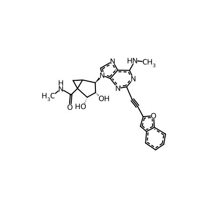 CNC(=O)C12CC1[C@@H](n1cnc3c(NC)nc(C#Cc4cc5ccccc5o4)nc31)[C@H](O)[C@@H]2O